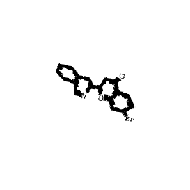 O=c1cc(-c2cc3ccccc3cn2)oc2cc(Br)ccc12